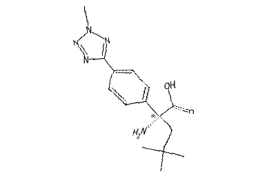 Cn1nnc(-c2ccc([C@](N)(CC(C)(C)C)C(=O)O)cc2)n1